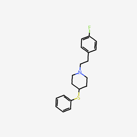 Fc1ccc(CCN2CCC(Sc3ccccc3)CC2)cc1